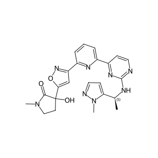 C[C@H](Nc1nccc(-c2cccc(-c3cc(C4(O)CCN(C)C4=O)on3)n2)n1)c1ccnn1C